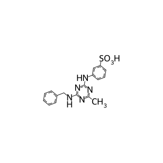 Cc1nc(NCc2ccccc2)nc(Nc2cccc(S(=O)(=O)O)c2)n1